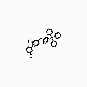 O=c1cc(Cc2cn(C(c3ccccc3)(c3ccccc3)c3ccccc3)cn2)ccn1-c1cccc(Cl)c1